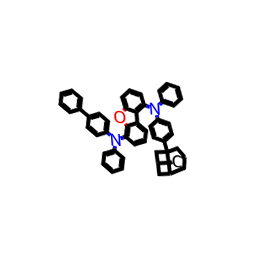 c1ccc(-c2ccc(N(c3ccccc3)c3cccc4c3oc3cccc(N(c5ccccc5)c5ccc(C67CC8CC9CC(C6)C97C8)cc5)c34)cc2)cc1